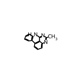 Cc1nc(N)c2c(-c3ccccc3)cccc2n1